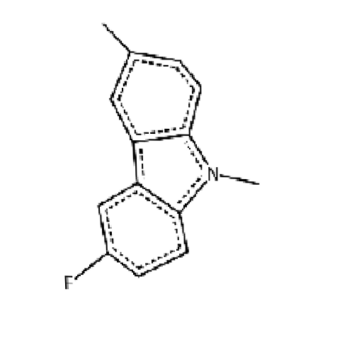 Cc1ccc2c(c1)c1cc(F)ccc1n2C